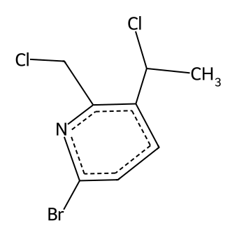 CC(Cl)c1ccc(Br)nc1CCl